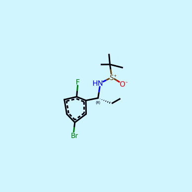 CC[C@@H](N[S+]([O-])C(C)(C)C)c1cc(Br)ccc1F